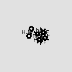 CC1([NH2+]C2(C)CCCCC2)CCCCC1.Cc1c(F)c(F)c([B-](c2c(F)c(F)c(C)c(F)c2F)(c2c(F)c(F)c(C)c(F)c2F)c2c(F)c(F)c(C)c(F)c2F)c(F)c1F